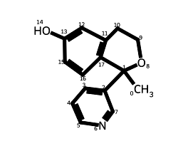 CC1(c2cccnc2)OCCc2cc(O)ccc21